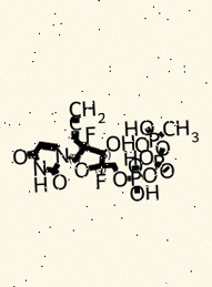 C=C=C[C@]1(F)[C@H](n2ccc(=O)[nH]c2=O)O[C@](F)(COP(=O)(O)OP(=O)(O)OP(C)(=O)O)[C@H]1O